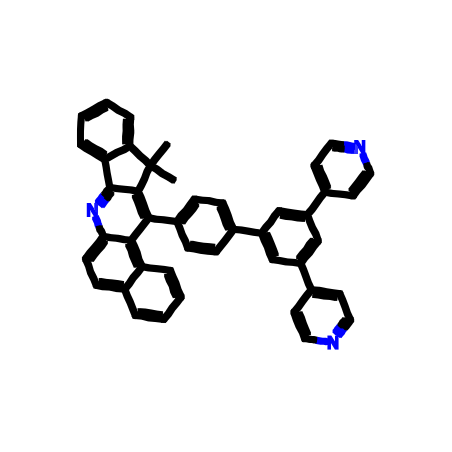 CC1(C)c2ccccc2-c2nc3ccc4ccccc4c3c(-c3ccc(-c4cc(-c5ccncc5)cc(-c5ccncc5)c4)cc3)c21